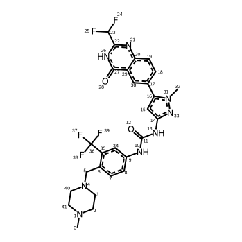 CN1CCN(Cc2ccc(NC(=O)Nc3cc(-c4ccc5nc(C(F)F)[nH]c(=O)c5c4)n(C)n3)cc2C(F)(F)F)CC1